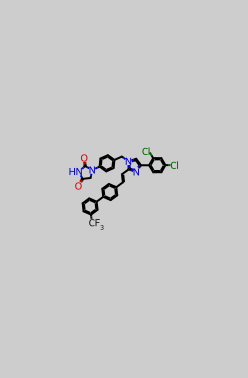 O=C1CN(c2ccc(Cn3cc(-c4ccc(Cl)cc4Cl)nc3/C=C/c3ccc(-c4cccc(C(F)(F)F)c4)cc3)cc2)C(=O)N1